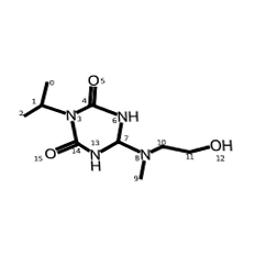 CC(C)N1C(=O)NC(N(C)CCO)NC1=O